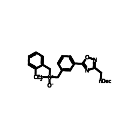 CCCCCCCCCCCc1noc(-c2cccc(C[N+]([O-])(CC)Cc3ccccc3C(F)(F)F)c2)n1